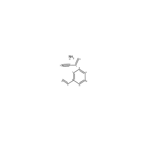 C=CC#N.C=Cc1ccccc1.N